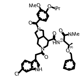 CNC(=O)[C@@H](NC(=O)C1CN(C(=O)Cc2c[nH]c3cc(Cl)ccc23)CC2CN(C(=O)c3ccc(OC(C)C)c(OC)c3)CC21)[C@@H](C)OCc1ccccc1